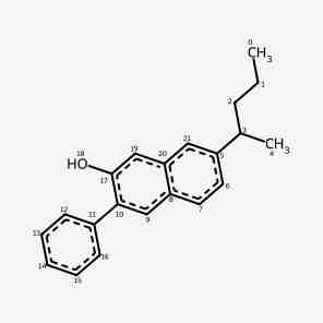 CCCC(C)c1ccc2cc(-c3ccccc3)c(O)cc2c1